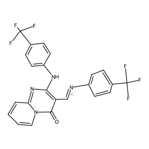 O=c1c(/C=N/c2ccc(C(F)(F)F)cc2)c(Nc2ccc(C(F)(F)F)cc2)nc2ccccn12